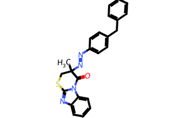 CC1(N=Nc2ccc(Cc3ccccc3)cc2)CSc2nc3ccccc3n2C1=O